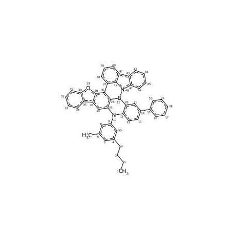 CCCCc1cc(C)cc(N2c3ccc(-c4ccccc4)cc3B3c4c2cc2c(oc5ccccc52)c4-c2cccc4c5ccccc5n3c24)c1